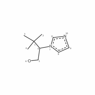 CC(C)(C)C(C[O])n1ccnc1